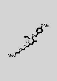 C=CC[C@H](OCc1ccc(OC)cc1)/C(C)=C\[C@@H](CC)COCOCCOC